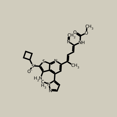 C=N/C(=C\C=C(/C)c1cc(-c2ccnn2C)c2c(N)c([S+]([O-])C3CCC3)sc2n1)NC(=O)OC